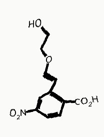 O=C(O)c1ccc([N+](=O)[O-])cc1/C=C/OCCO